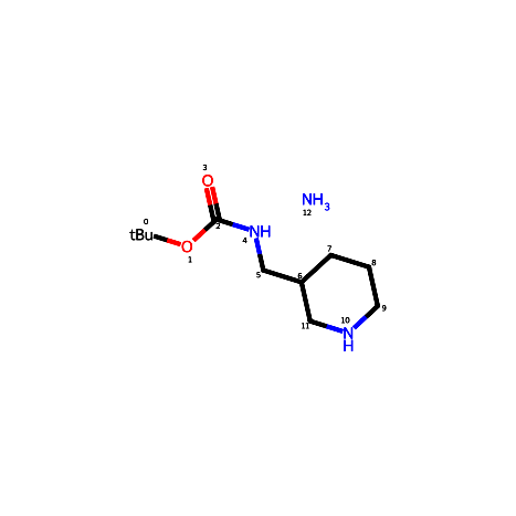 CC(C)(C)OC(=O)NCC1CCCNC1.N